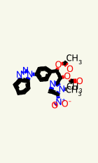 CC(=O)OC(c1ccc(-n2nnc3ccccc32)cc1)C(OC(C)=O)c1ncc([N+](=O)[O-])n1C